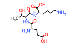 C[C@@H](O)[C@H](NC(=O)[C@@H](N)CCC(=O)O)C(=O)N[C@@H](CCCCN)C(=O)O